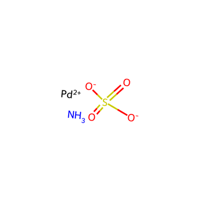 N.O=S(=O)([O-])[O-].[Pd+2]